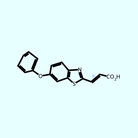 O=C(O)/C=C/c1nc2ccc(Oc3ccccc3)cc2s1